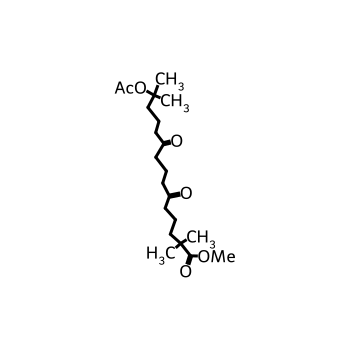 COC(=O)C(C)(C)CCCC(=O)CCCC(=O)CCCC(C)(C)OC(C)=O